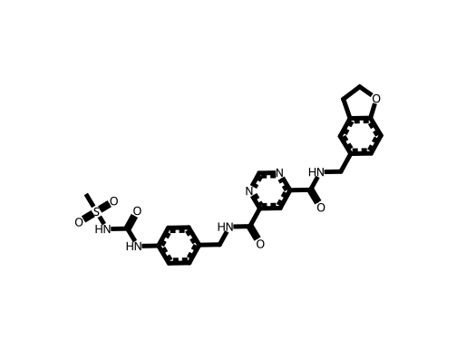 CS(=O)(=O)NC(=O)Nc1ccc(CNC(=O)c2cc(C(=O)NCc3ccc4c(c3)CCO4)ncn2)cc1